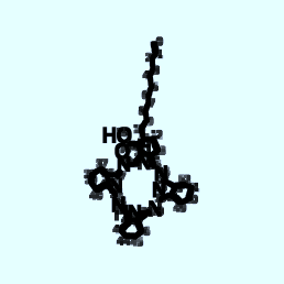 C=CCCCCCCCCCc1ccc2c3nc4nc(nc5[nH]c(nc6nc(nc([nH]3)c2c1C(=O)O)-c1ccccc1-6)c1ccccc51)-c1ccccc1-4